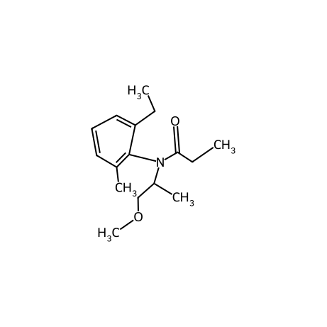 CCC(=O)N(c1c(C)cccc1CC)C(C)COC